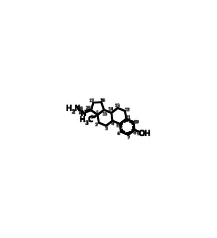 C[C@]12CCC3c4ccc(O)cc4CCC3C1CC/C2=N\N